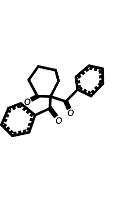 O=C1CCCCC1(C(=O)c1ccccc1)C(=O)c1ccccc1